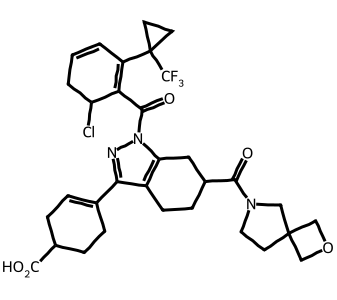 O=C(O)C1CC=C(c2nn(C(=O)C3=C(C4(C(F)(F)F)CC4)C=CCC3Cl)c3c2CCC(C(=O)N2CCC4(COC4)C2)C3)CC1